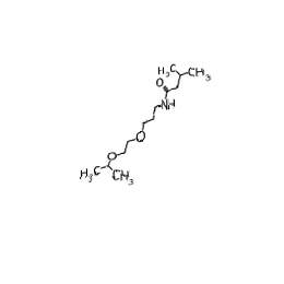 CC(C)CC(=O)NCCCOCCOC(C)C